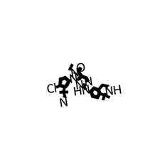 CCn1c(=O)c2cnc(Nc3ccc4c(c3)CCNC4(C)C)nc2n1-c1ccc(Cl)c(C(C)(C)C#N)c1